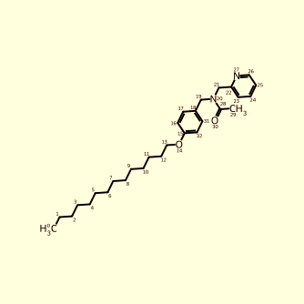 CCCCCCCCCCCCCCOc1ccc(CN(Cc2ccccn2)C(C)=O)cc1